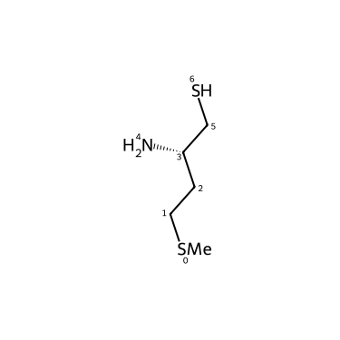 CSCC[C@H](N)CS